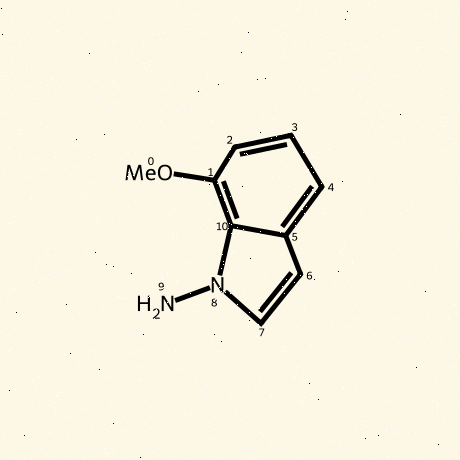 COc1cccc2ccn(N)c12